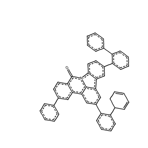 O=c1c2ccc(-c3ccccc3)cc2c2cc(-c3ccccc3C3C=CC=CC3)cc3c4cc(-c5ccccc5-c5ccccc5)ccc4n1c23